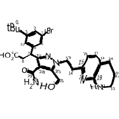 CC(C)(C)c1cc(Br)cc([C@H](CC(=O)O)c2nn(CCc3ccc4c(n3)NCCC4)c(CO)c2C(N)=O)c1